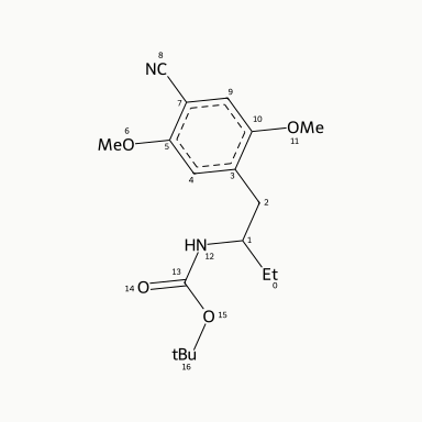 CCC(Cc1cc(OC)c(C#N)cc1OC)NC(=O)OC(C)(C)C